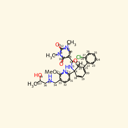 COc1nc(C2(NC(=O)c3cn(C)c(=O)n(C)c3=O)C=CC=C(c3ccccc3Cl)[C@H]2C)ccc1CNCC(C)O